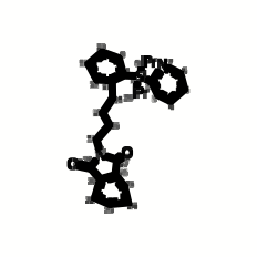 CC(C)[Si](c1ccccn1)(c1ccccc1CCCCN1C(=O)c2ccccc2C1=O)C(C)C